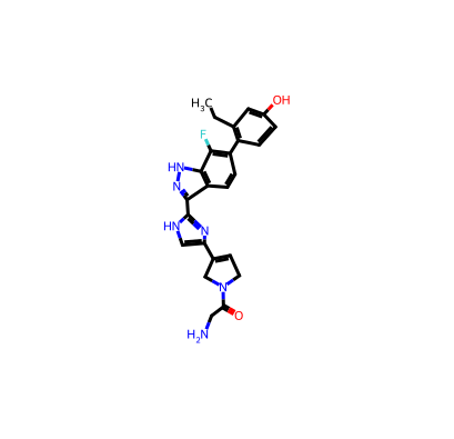 CCc1cc(O)ccc1-c1ccc2c(-c3nc(C4=CCN(C(=O)CN)C4)c[nH]3)n[nH]c2c1F